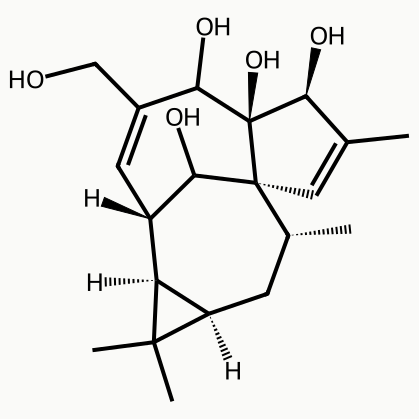 CC1=C[C@]23C(O)[C@@H](C=C(CO)C(O)[C@]2(O)[C@H]1O)[C@H]1[C@@H](C[C@H]3C)C1(C)C